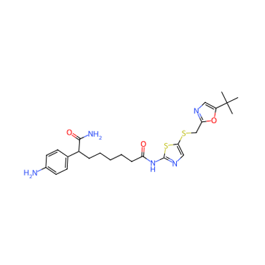 CC(C)(C)c1cnc(CSc2cnc(NC(=O)CCCCCC(C(N)=O)c3ccc(N)cc3)s2)o1